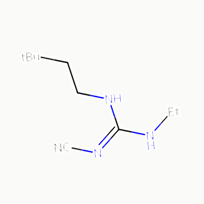 CCNC(=NC#N)NC[CH]C(C)(C)C